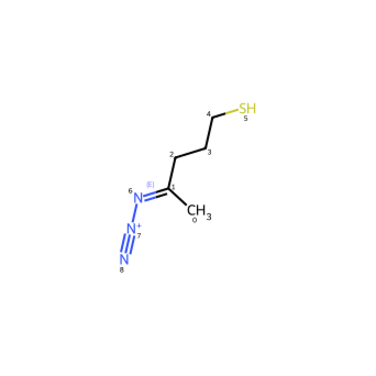 C/C(CCCS)=N\[N+]#N